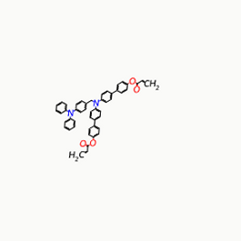 C=CC(=O)Oc1ccc(-c2ccc(N(Cc3ccc(N(c4ccccc4)c4ccccc4)cc3)c3ccc(-c4ccc(OC(=O)C=C)cc4)cc3)cc2)cc1